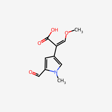 COC=C(C(=O)O)c1cc(C=O)n(C)c1